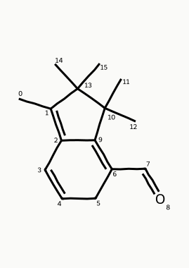 CC1=C2C=CCC(C=O)=C2C(C)(C)C1(C)C